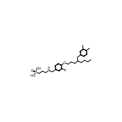 CCCCC(CCCOc1ccc(CNCCCP(=O)(O)O)cc1F)Cc1ccc(C)c(C)c1